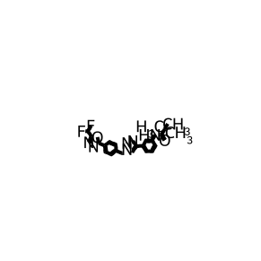 CC(C)(C)C(=O)Nc1cccc(-c2cn(Cc3ccc(-c4nnc(C(F)F)o4)cc3)nn2)c1